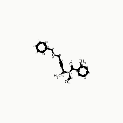 Cc1ccccc1C(=O)N(C=O)C(C)C#CCOCc1ccccc1